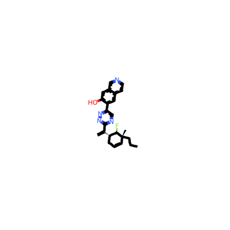 C=C(c1ncc(-c2cc3ccncc3cc2O)nn1)[C@H]1CC=C[C@@](C)(CCC)[C@@H]1F